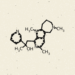 Cc1cc2c3c(n(C)c2c(CC(C)(O)c2cccnc2)n1)CCCN(C)C3